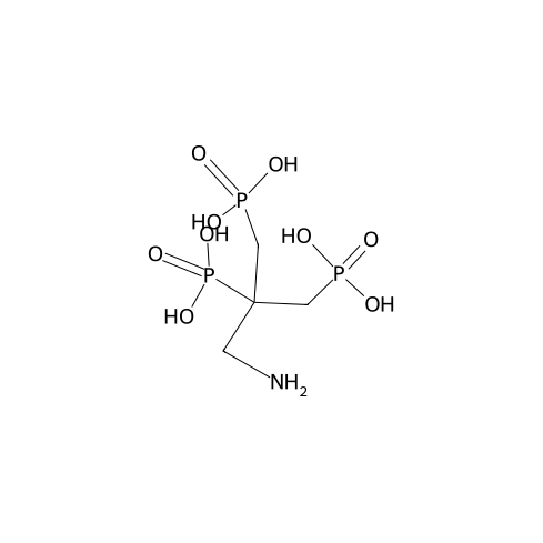 NCC(CP(=O)(O)O)(CP(=O)(O)O)P(=O)(O)O